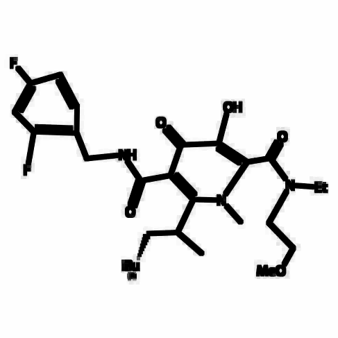 CC[C@@H](C)CC(C)c1c(C(=O)NCc2ccc(F)cc2F)c(=O)c(O)c(C(=O)N(CC)CCOC)n1C